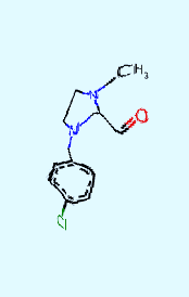 CN1CCN(c2ccc(Cl)cc2)C1C=O